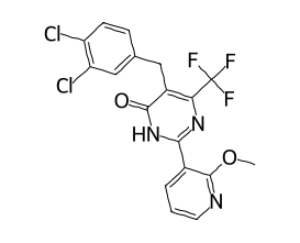 COc1ncccc1-c1nc(C(F)(F)F)c(Cc2ccc(Cl)c(Cl)c2)c(=O)[nH]1